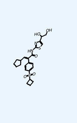 O=C(Nc1nc(C(O)CO)cs1)/C(=C/C1CCCC1)c1ccc(S(=O)(=O)C2CCC2)cc1